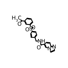 CC(=O)c1cccc(S(=O)(=O)c2ccc(CNC(=O)c3ccc4nccn4c3)cc2)c1